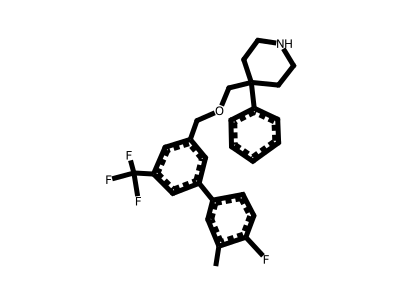 Cc1cc(-c2cc(COCC3(c4ccccc4)CCNCC3)cc(C(F)(F)F)c2)ccc1F